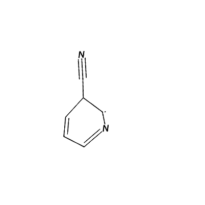 N#CC1[CH]N=CC=C1